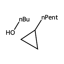 CCCCCC1CC1.CCCCO